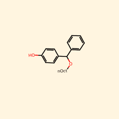 CCCCCCCCOC(c1ccccc1)c1ccc(O)cc1